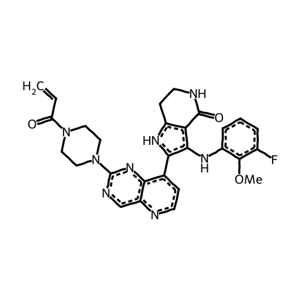 C=CC(=O)N1CCN(c2ncc3nccc(-c4[nH]c5c(c4Nc4cccc(F)c4OC)C(=O)NCC5)c3n2)CC1